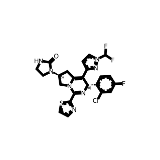 O=C1NCCN1[C@H]1CC2=C(c3ccn(C(F)F)n3)[C@H](c3ccc(F)cc3Cl)N=C(c3nccs3)N2C1